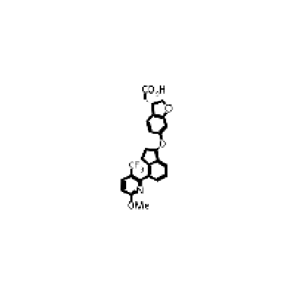 COc1ccc(C(F)(F)F)c(-c2cccc3c2CC[C@H]3Oc2ccc3c(c2)OC[C@H]3CC(=O)O)n1